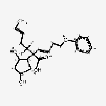 CC=CCC(F)(F)C(C=CCCOc1ccccc1)(C(=O)O)C1CC(O)CC1O